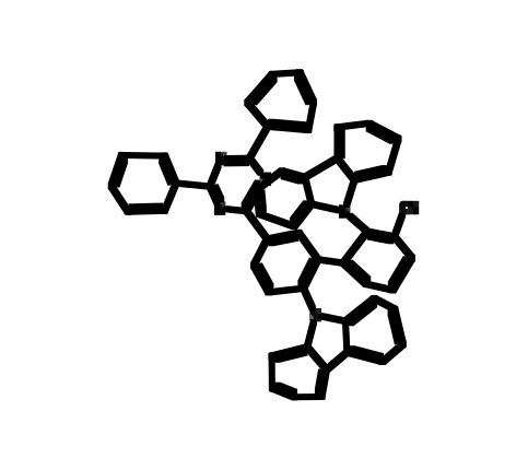 N#Cc1cccc(-c2cc(-c3nc(-c4ccccc4)nc(-c4ccccc4)n3)ccc2-n2c3ccccc3c3ccccc32)c1-n1c2ccccc2c2ccccc21